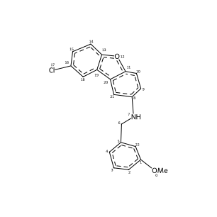 COc1cccc(CNc2ccc3oc4ccc(Cl)cc4c3c2)c1